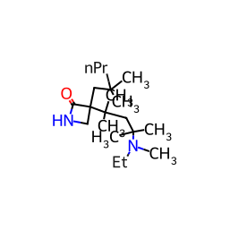 CCCC(C)(C)CC1(C(C)(C)CC(C)(C)N(C)CC)CNC1=O